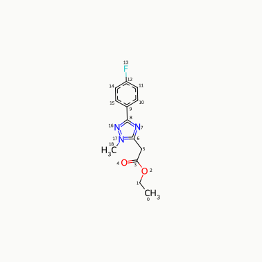 CCOC(=O)Cc1nc(-c2ccc(F)cc2)nn1C